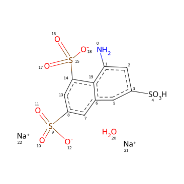 Nc1cc(S(=O)(=O)O)cc2cc(S(=O)(=O)[O-])cc(S(=O)(=O)[O-])c12.O.[Na+].[Na+]